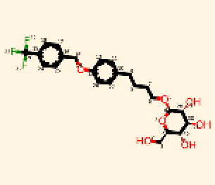 OC[C@H]1O[C@@H](OCCCCc2ccc(OCc3ccc(C(F)(F)F)cc3)cc2)[C@H](O)[C@@H](O)[C@@H]1O